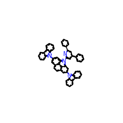 c1ccc(-c2cc(-c3ccccc3)nc(-n3c4cc(-n5c6ccccc6c6ccccc65)cc5ccc6cc(-n7c8ccccc8c8ccccc87)cc3c6c54)c2)cc1